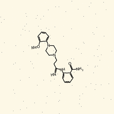 COc1ccccc1N1CCN(CCC(=N)Nc2ccccc2C(N)=O)CC1